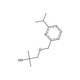 CC(C)c1cccc(COCC(C)(C)O)n1